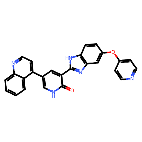 O=c1[nH]cc(-c2ccnc3ccccc23)cc1-c1nc2cc(Oc3ccncc3)ccc2[nH]1